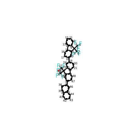 FC(F)(F)C1(C(F)(F)F)c2ccccc2-c2ccc(-c3ccc4c(c3)C(C(F)(F)F)(C(F)(F)F)c3cc(-c5ccc6ccccc6c5)ccc3-4)cc21